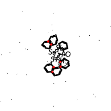 O=P(c1ccccc1)(c1ccccc1)C([PH2](Sc1ccccc1)Sc1ccccc1)[PH2]([Se]c1ccccc1)[Se]c1ccccc1